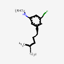 CCOC(=O)Nc1cc(F)cc(CCCC(C)C(=O)O)c1